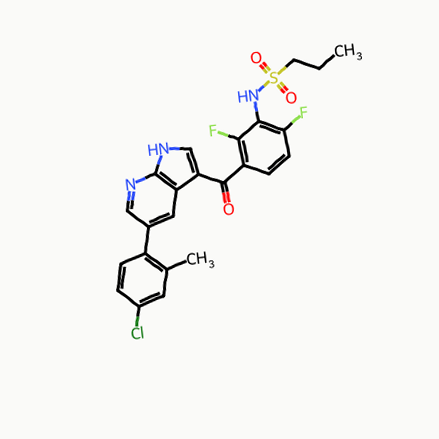 CCCS(=O)(=O)Nc1c(F)ccc(C(=O)c2c[nH]c3ncc(-c4ccc(Cl)cc4C)cc23)c1F